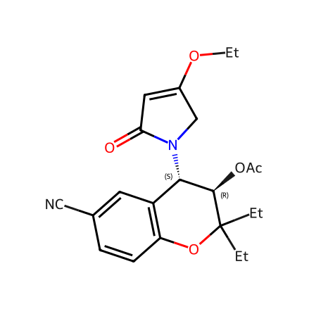 CCOC1=CC(=O)N([C@H]2c3cc(C#N)ccc3OC(CC)(CC)[C@@H]2OC(C)=O)C1